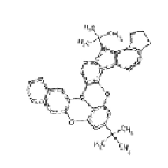 CC(C)(C)c1cc2c3c(c1)Oc1c(ccc4c1c1ccc5c(c1n4C(C)(C)C)CCC5)B3c1cc3ccccc3cc1O2